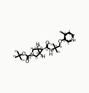 Cc1ccncc1OCC(C)(C)NC(=O)[C@H]1[C@@H]2CN(C(=O)OC(C)(C)C)C[C@@H]21